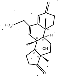 C[C@]12CCC(=O)C=C1C(CC(=O)O)=C[C@@H]1[C@@H]2CC[C@]2(C)C(=O)CC[C@@]12O